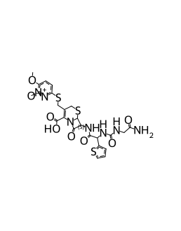 COc1ccc(SCC2=C(C(=O)O)N3C(=O)[C@H](NC(=O)C(NC(=O)NCC(N)=O)c4cccs4)C3SC2)n[n+]1[O-]